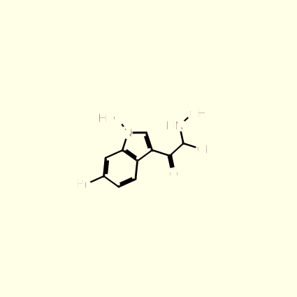 CNC(C)C(=O)c1cn(C)c2cc(Br)ccc12